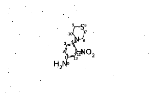 Nc1ccc(N2CCSCC2)c([N+](=O)[O-])c1